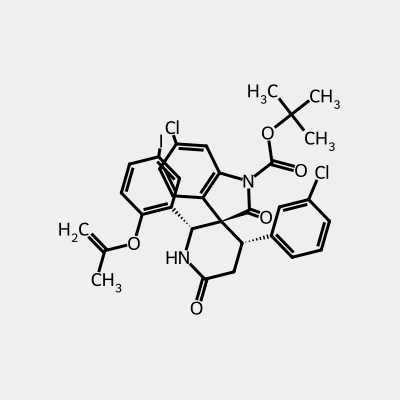 C=C(C)Oc1ccc(I)cc1[C@H]1NC(=O)C[C@@H](c2cccc(Cl)c2)[C@]12C(=O)N(C(=O)OC(C)(C)C)c1cc(Cl)ccc12